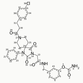 NC(=O)Oc1cccc(CNC(=O)CN2C(=O)N(c3ccccc3)C3(CCN(C(=O)[CH]Cc4ccc(Cl)cc4)CC3)C2=O)c1